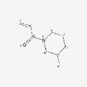 C=CC(=O)N1CC[CH]C(C)C1